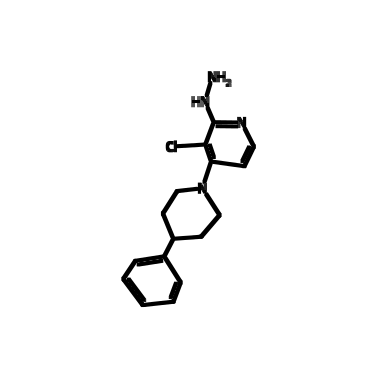 NNc1nccc(N2CCC(c3ccccc3)CC2)c1Cl